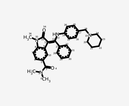 CN(C)C(=O)c1ccc2c(c1)/C(=C(/Nc1ccc(CN3CCCCC3)cc1)c1ccccc1)C(=O)N2C